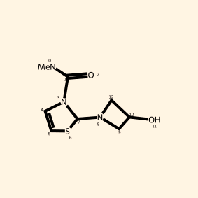 CNC(=O)N1C=CSC1N1CC(O)C1